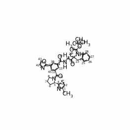 Cc1csc([C@H]2CCCN2C(=O)c2cc(C(=O)NCC(=O)[C@@](C)(Cc3ccccc3)NC(=O)OC(C)(C)C)cc(-c3ncco3)c2)n1